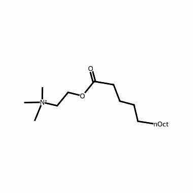 CCCCCCCCCCCCC(=O)OCC[N+](C)(C)C